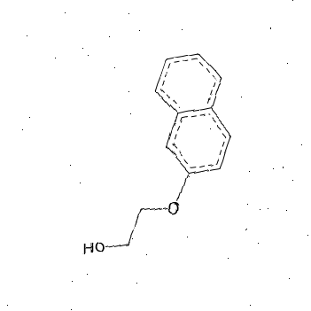 OCCOc1ccc2ccccc2c1